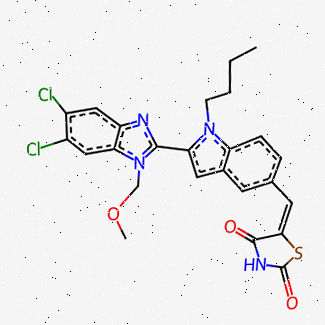 CCCCn1c(-c2nc3cc(Cl)c(Cl)cc3n2COC)cc2cc(C=C3SC(=O)NC3=O)ccc21